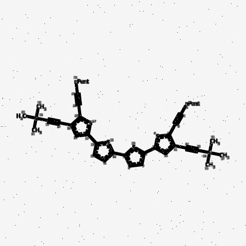 CCCCCC#Cc1sc(-c2ccc(-c3ccc(-c4cc(C#C[Si](C)(C)C)c(C#CCCCCC)s4)s3)s2)cc1C#C[Si](C)(C)C